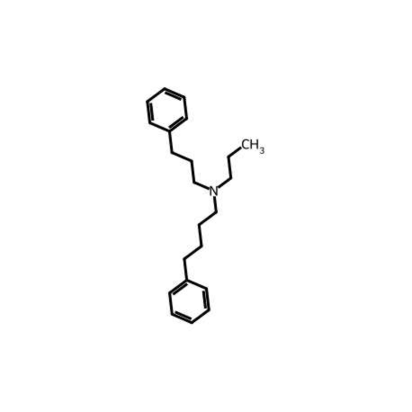 CCCN(CCCCc1ccccc1)CCCc1ccccc1